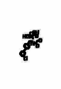 C[C@@](CO)(C[C@@H](Cc1ccc(-c2cccc(Cl)c2)cc1)NC(=O)C=O)C(=O)O